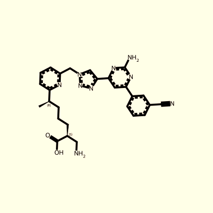 C[C@H](CCC[C@@H](CN)C(=O)O)c1cccc(Cn2cc(-c3cc(-c4cccc(C#N)c4)nc(N)n3)nn2)n1